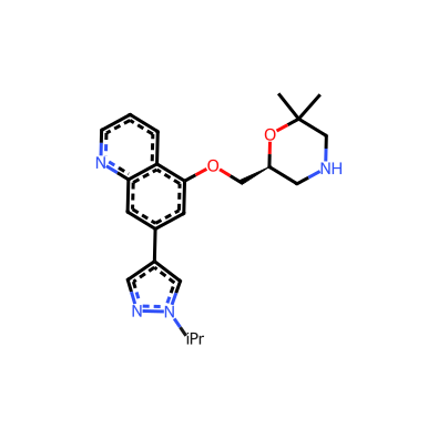 CC(C)n1cc(-c2cc(OC[C@@H]3CNCC(C)(C)O3)c3cccnc3c2)cn1